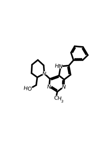 Cc1nc(N2CCCCC2CO)c2[nH]c(-c3ccccc3)cc2n1